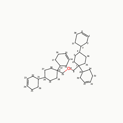 C1=CCC(C2CCC(COCC3(C4CC=CCC4)CCC(C4CC=CCC4)CC3)(C3CC=CCC3)CC2)CC1